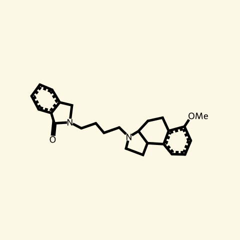 COc1cccc2c1CCC1C2CCN1CCCCN1Cc2ccccc2C1=O